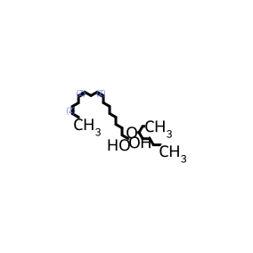 CC/C=C\C/C=C\C/C=C\CCCCCCCC(O)(O)OC(CC)CCCCC